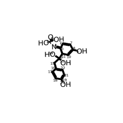 O=P(O)(O)N=C1C=CC(O)=CC1C(O)(O)Cc1ccc(O)cc1